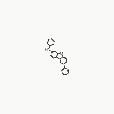 c1ccc(Nc2ccc3c(c2)oc2ccc(-c4ccccc4)cc23)cc1